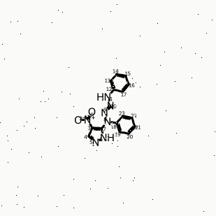 O=[N+]([O-])c1cn[nH]c1N(N=NNc1ccccc1)c1ccccc1